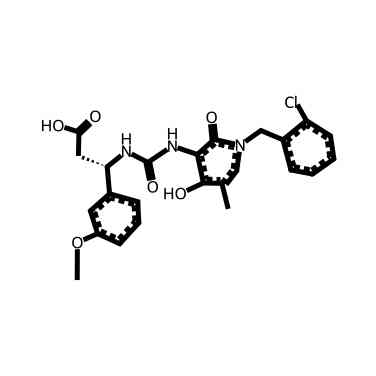 COc1cccc([C@H](CC(=O)O)NC(=O)Nc2c(O)c(C)cn(Cc3ccccc3Cl)c2=O)c1